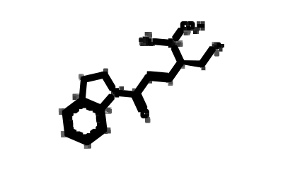 CC(C)C[C@@H](C=CC(=O)N1CCc2ccccc21)N(C(=O)O)C(C)(C)C